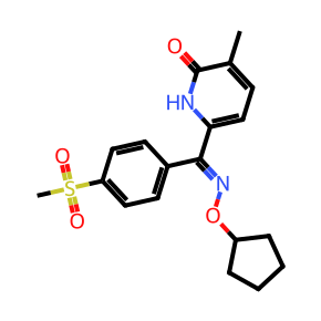 Cc1ccc(C(=NOC2CCCC2)c2ccc(S(C)(=O)=O)cc2)[nH]c1=O